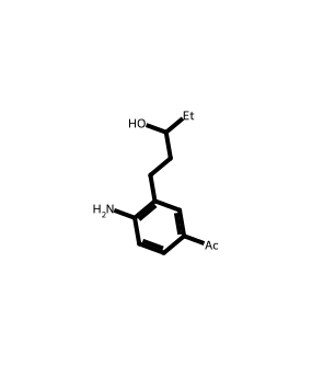 CCC(O)CCc1cc(C(C)=O)ccc1N